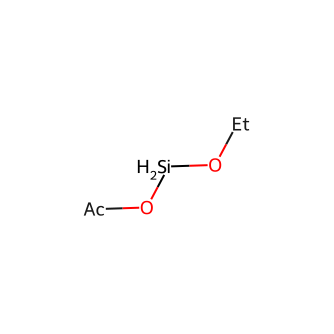 CCO[SiH2]OC(C)=O